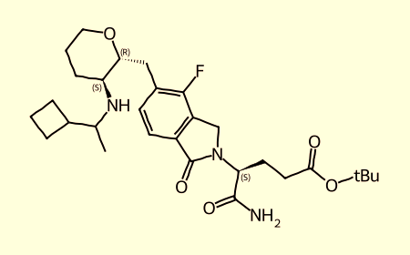 CC(N[C@H]1CCCO[C@@H]1Cc1ccc2c(c1F)CN([C@@H](CCC(=O)OC(C)(C)C)C(N)=O)C2=O)C1CCC1